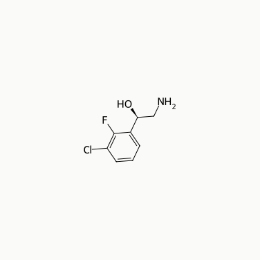 NC[C@H](O)c1cccc(Cl)c1F